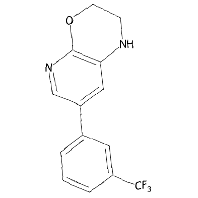 FC(F)(F)c1cccc(-c2cnc3c(c2)NCCO3)c1